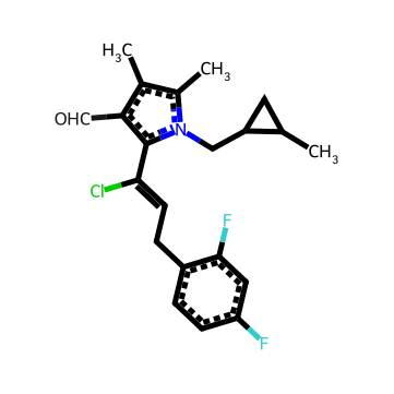 Cc1c(C=O)c(C(Cl)=CCc2ccc(F)cc2F)n(CC2CC2C)c1C